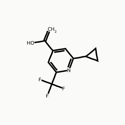 C=C(O)c1cc(C2CC2)nc(C(F)(F)F)c1